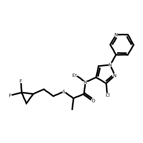 CCN(C(=O)C(C)SCCC1CC1(F)F)c1cn(-c2cccnc2)nc1Cl